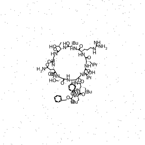 CC[C@H](C)[C@@H]1NC(=O)[C@@H](CCCNC(=N)N)NC(=O)[C@H](CC(C)C)NC(=O)[C@H]([C@H](O)C(C)C)NC(=O)[C@H](NC(=O)[C@H](CC(C)(C)C)NC(=O)[C@@H](CC(C)(C)C)NC(=O)OCc2ccccc2)[C@H](c2ccc(OC)cc2)NC(=O)[C@H](CO)NC(=O)[C@H]([C@H](O)C(N)=O)NC(=O)CNC(=O)[C@H]([C@H](C)O)NC1=O